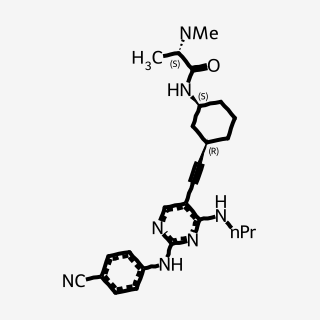 CCCNc1nc(Nc2ccc(C#N)cc2)ncc1C#C[C@@H]1CCC[C@H](NC(=O)[C@H](C)NC)C1